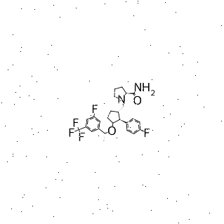 C[C@@H](O[C@H]1CC[C@H](CN2CCC[C@H]2C(N)=O)[C@H]1c1ccc(F)cc1)c1cc(F)cc(C(F)(F)F)c1